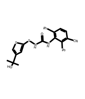 CC(C)c1ccc(C#N)c(C(C)C)c1NC(=O)NSc1cc(C(C)(C)O)cs1